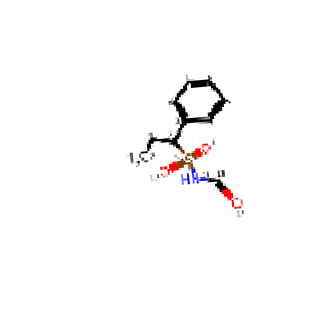 CCC(c1ccccc1)S(=O)(=O)NC=O